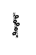 N#COc1ccccc1Oc1ccc(Oc2ccccc2Oc2ccc(Oc3ccccc3OC#N)cc2)cc1